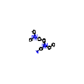 N#Cc1ccc(-c2nc(-c3cccc(-c4ccccc4)c3)nc(-c3cccc(-c4ccc(-c5nc(-c6ccccc6)nc(-c6ccccc6)n5)cc4)c3)n2)cc1